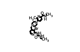 CCNC(=O)Nc1nccc(CN2CCN(c3ccc(C(=O)NC)nc3C)CC2)c1Br